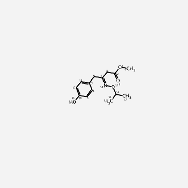 COC(=O)CC(Cc1ccc(O)cc1)=NOC(C)C